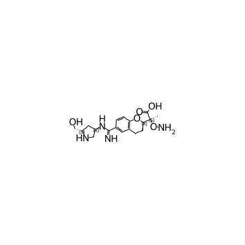 C[C@@](ON)(C(=O)O)[C@H]1CCc2cc(C(=N)N[C@H]3CN[C@H](CO)C3)ccc2O1